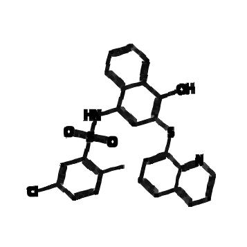 Cc1ccc(Cl)cc1S(=O)(=O)Nc1cc(Sc2cccc3cccnc23)c(O)c2ccccc12